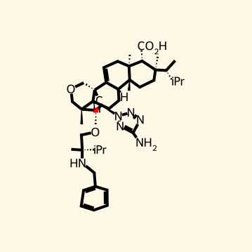 CC(C)[C@@H](C)[C@@]1(C)CC[C@]2(C)[C@H]3CC[C@@H]4[C@@]5(COC[C@@]4(C)[C@@H](OC[C@](C)(NCc4ccccc4)C(C)C)[C@H](n4nnc(N)n4)C5)C3=CC[C@@]2(C)[C@@H]1C(=O)O